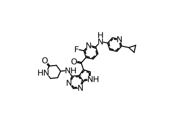 O=C1CC(Nc2ncnc3[nH]cc(C(=O)c4ccc(Nc5ccc(C6CC6)nc5)nc4F)c23)CCN1